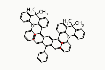 CC1(C)c2ccccc2N(c2ccccc2)c2c(-c3cccc4c(-c5ccccc5)c5cccc(-c6cccc7c6N(c6ccccc6)c6ccccc6C7(C)C)c5cc34)cccc21